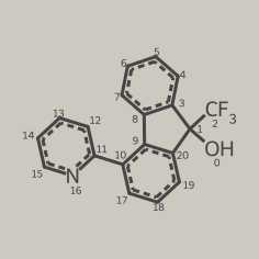 OC1(C(F)(F)F)c2ccccc2-c2c(-c3ccccn3)cccc21